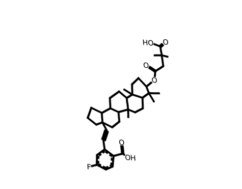 CC(C)(CC(=O)OC1CCC2(C)C(CCC3(C)C4CCC5(C#Cc6cc(F)ccc6C(=O)O)CCCC5C4CCC32)C1(C)C)C(=O)O